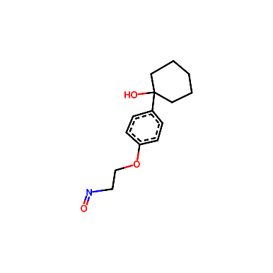 O=NCCOc1ccc(C2(O)CCCCC2)cc1